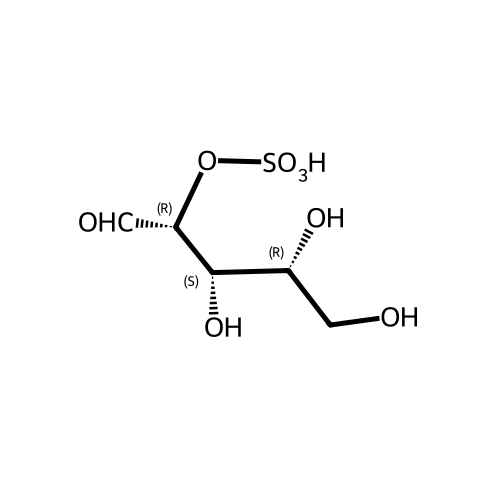 O=C[C@H](OS(=O)(=O)O)[C@@H](O)[C@H](O)CO